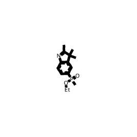 CCOP(C)(=O)c1ccc2c(c1)C(C)(C)C(C)=N2